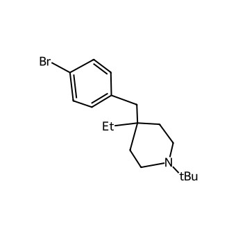 CCC1(Cc2ccc(Br)cc2)CCN(C(C)(C)C)CC1